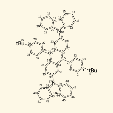 CC(C)(C)c1ccc(-c2c3ccc(-n4c5ccccc5c5ccccc54)cc3c(-c3ccc(C(C)(C)C)cc3)c3ccc(-n4c5ccccc5c5ccccc54)cc23)cc1